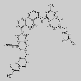 Cc1nc(Nc2cccc(-c3cccc(-c4nc5cc(CN6CCC(CC(=O)O)CC6)cc(C#N)c5o4)c3C)c2C)c2ncc(CNCC(C)O)cc2n1